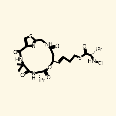 CC(C)[C@@H]1NC(=O)C(C)(C)NC(=O)c2csc(n2)CNC(=O)C[C@@H](/C=C/CCSC(=O)[C@@H](NCl)C(C)C)OC1=O